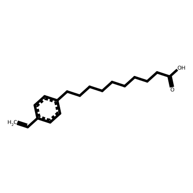 C=Cc1ccc(CCCCCCCCCC(=O)O)cc1